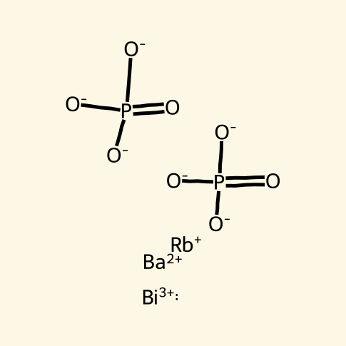 O=P([O-])([O-])[O-].O=P([O-])([O-])[O-].[Ba+2].[Bi+3].[Rb+]